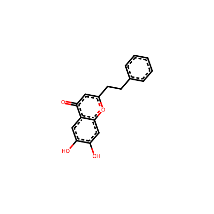 O=c1cc(CCc2ccccc2)oc2cc(O)c(O)cc12